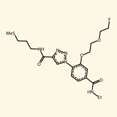 CCNC(=O)c1ccc(-n2cc(C(=O)NCCCSC)nn2)c(OCCOCCF)c1